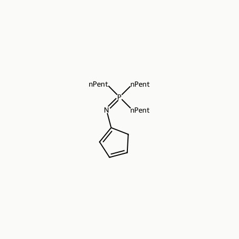 CCCCCP(CCCCC)(CCCCC)=NC1=CC=CC1